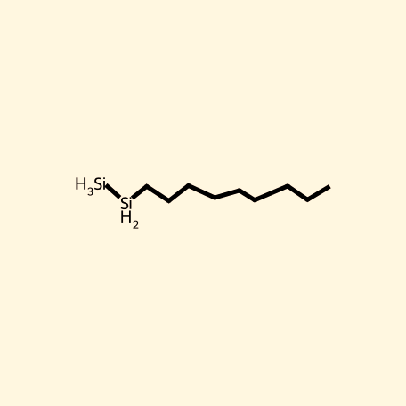 CCCCCCCCC[SiH2][SiH3]